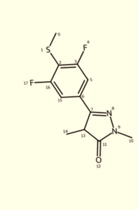 CSc1c(F)cc(C2=NN(C)C(=O)C2C)cc1F